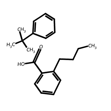 CC(C)(C)c1ccccc1.CCCCc1ccccc1C(=O)O